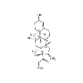 C=C1C[C@H]2[C@@H]3CCC4=CC(O)C=C[C@]4(C)[C@@]3(F)[C@@H](O)C[C@]2(C)[C@@]1(O)C(=O)COC(C)=O